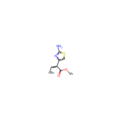 CCCCC=C(C(=O)OC(C)C)c1csc(N)n1